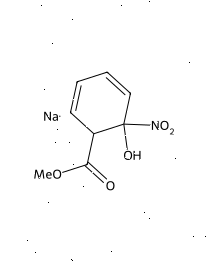 COC(=O)C1C=CC=CC1(O)[N+](=O)[O-].[Na]